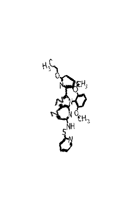 CCOc1cccc(-c2nc3ncc(NSc4ccccn4)nc3n2-c2c(OC)cccc2OC)n1